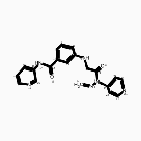 C=NN(C(=O)CNc1cccc(C(=O)Nc2cccnc2)c1)c1ccncc1